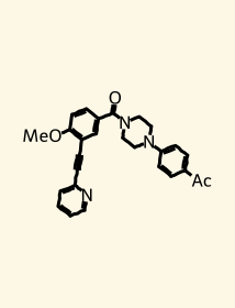 COc1ccc(C(=O)N2CCN(c3ccc(C(C)=O)cc3)CC2)cc1C#Cc1ccccn1